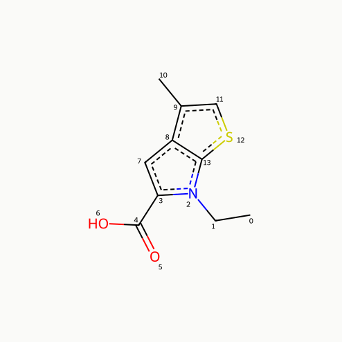 CCn1c(C(=O)O)cc2c(C)csc21